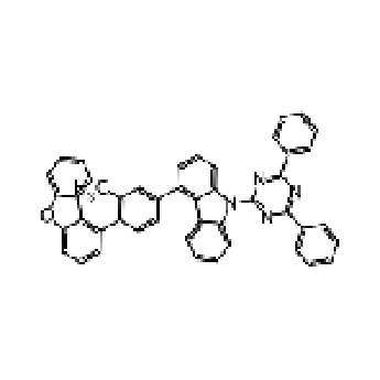 Cc1cc(-c2cccc3c2c2ccccc2n3-c2nc(-c3ccccc3)nc(-c3ccccc3)n2)ccc1-c1cccc2oc3ccccc3c12